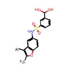 CC(=O)c1c(C)oc2ccc(NS(=O)(=O)c3cccc(C(O)O)c3)cc12